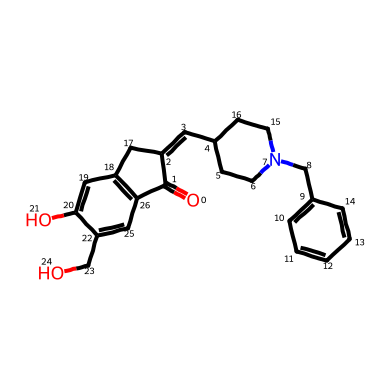 O=C1C(=CC2CCN(Cc3ccccc3)CC2)Cc2cc(O)c(CO)cc21